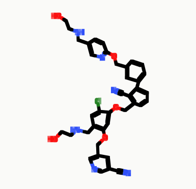 N#Cc1cncc(COc2cc(OCc3cccc(-c4cccc(COc5ccc(CNCCO)cn5)c4)c3C#N)c(Cl)cc2CNCCO)c1